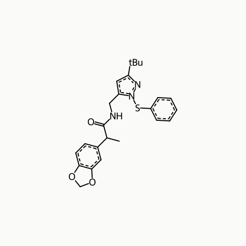 CC(C(=O)NCc1cc(C(C)(C)C)nn1Sc1ccccc1)c1ccc2c(c1)OCO2